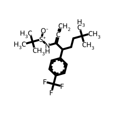 C=C=C(N[S+]([O-])C(C)(C)C)C(CCC(C)(C)C)c1ccc(C(F)(F)F)cc1